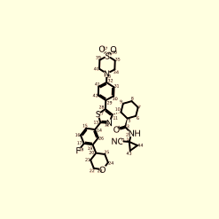 N#CC1(NC(=O)[C@@H]2CCCC[C@H]2c2nc(-c3ccc(F)c(C4CCOCC4)c3)sc2-c2ccc(N3CCS(=O)(=O)CC3)cc2)CC1